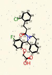 O=C(O)COc1ccc(F)cc1C1c2ccccc2CCN1C(=O)CCc1ccccc1Cl